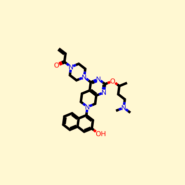 C=CC(=O)N1CCN(c2nc(OC(C)CCN(C)C)nc3c2CCN(c2cc(O)cc4ccccc24)C3)CC1